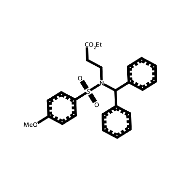 CCOC(=O)CCN(C(c1ccccc1)c1ccccc1)S(=O)(=O)c1ccc(OC)cc1